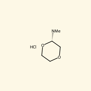 CN[C@@H]1COCCO1.Cl